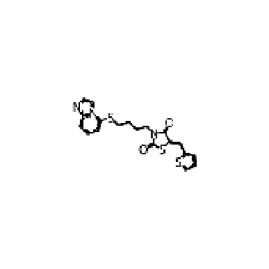 O=C1SC(=Cc2cccs2)C(=O)N1CCCCSc1cccc2nccn12